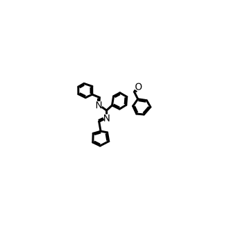 C(=NC(N=Cc1ccccc1)c1ccccc1)c1ccccc1.O=Cc1ccccc1